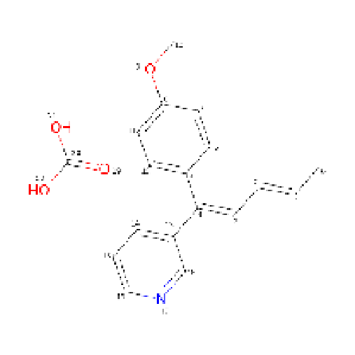 C/C=C/C=C(\c1ccc(OC)cc1)c1cccnc1.O=C(O)O